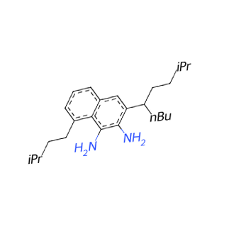 CCCCC(CCC(C)C)c1cc2cccc(CCC(C)C)c2c(N)c1N